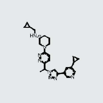 CC(c1ccc(N2CCC[C@@H](NCC3CC3)C2)nn1)n1cc(-c2cncc(C3CC3)c2)nn1